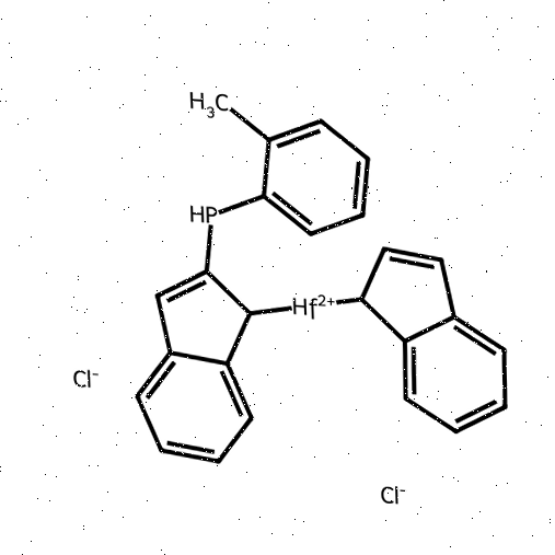 Cc1ccccc1PC1=Cc2ccccc2[CH]1[Hf+2][CH]1C=Cc2ccccc21.[Cl-].[Cl-]